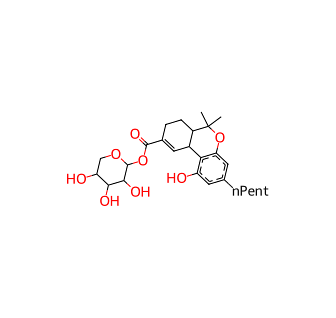 CCCCCc1cc(O)c2c(c1)OC(C)(C)C1CCC(C(=O)OC3OCC(O)C(O)C3O)=CC21